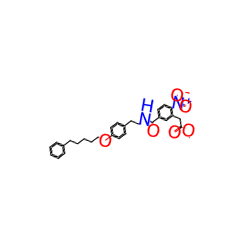 COC(=O)Cc1cc(C(=O)NCCc2ccc(OCCCCCc3ccccc3)cc2)ccc1[N+](=O)[O-]